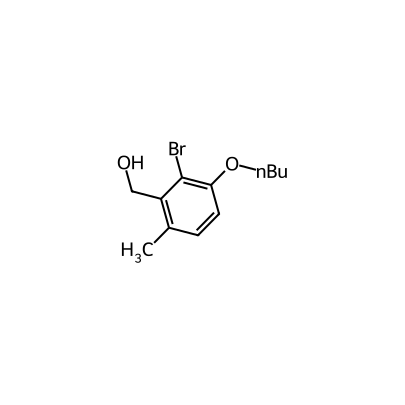 CCCCOc1ccc(C)c(CO)c1Br